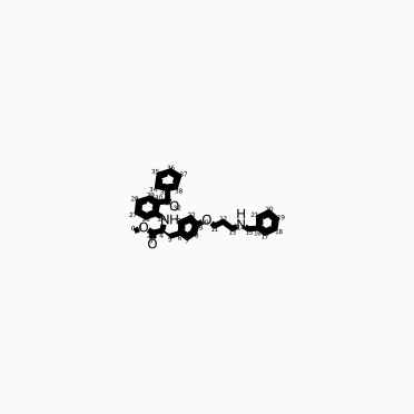 COC(=O)[C@H](Cc1ccc(OCCCNCc2ccccc2)cc1)Nc1ccccc1C(=O)c1ccccc1